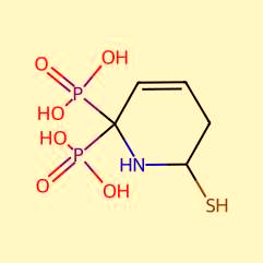 O=P(O)(O)C1(P(=O)(O)O)C=CCC(S)N1